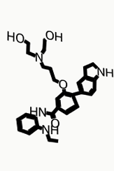 CCNc1ccccc1NC(=O)c1ccc(-c2ccc3c(c2)CCN3)c(OCCCN(CCO)CCO)c1